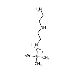 CCC[Si](C)(C)C.NCCNCCN